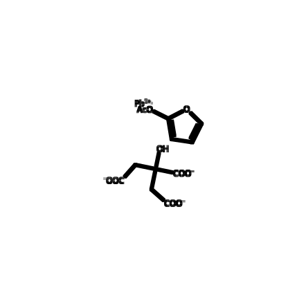 CC(=O)Oc1ccco1.O=C([O-])CC(O)(CC(=O)[O-])C(=O)[O-].[Pb+3]